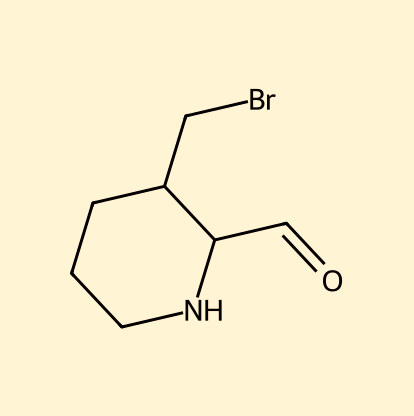 O=CC1NCCCC1CBr